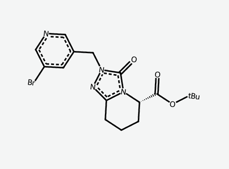 CC(C)(C)OC(=O)[C@@H]1CCCc2nn(Cc3cncc(Br)c3)c(=O)n21